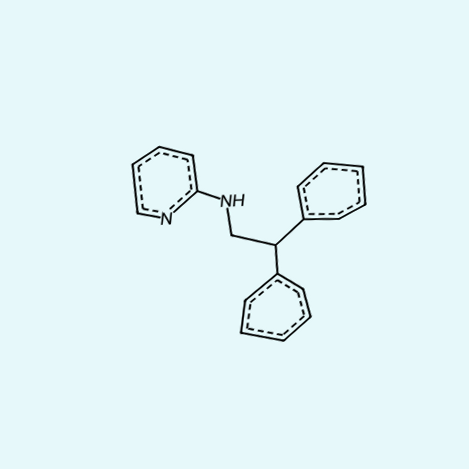 c1ccc(C(CNc2ccccn2)c2ccccc2)cc1